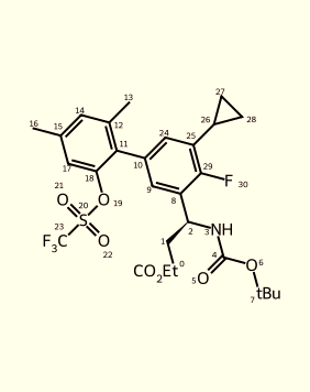 CCOC(=O)C[C@H](NC(=O)OC(C)(C)C)c1cc(-c2c(C)cc(C)cc2OS(=O)(=O)C(F)(F)F)cc(C2CC2)c1F